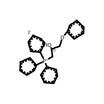 O[C@@H](COc1ccccc1)C[P+](c1ccccc1)(c1ccccc1)c1ccccc1.[I-]